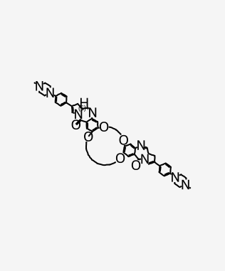 CN1CCN(c2ccc(C3=CN4C(=O)c5cc6c(cc5N=CC4C3)OCCCOc3cc4c(cc3OCCCCCCCCO6)C(=O)N3C=C(c5ccc(N6CCN(C)CC6)cc5)C[C@H]3C=N4)cc2)CC1